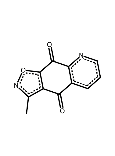 Cc1noc2c1C(=O)c1cccnc1C2=O